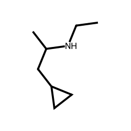 CCNC(C)CC1CC1